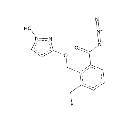 [N-]=[N+]=NC(=O)c1cccc(CF)c1COc1ccn(O)n1